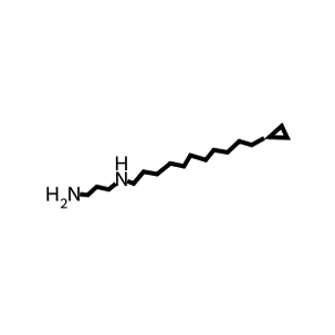 C1CC1.CCCCCCCCCCCCNCCCN